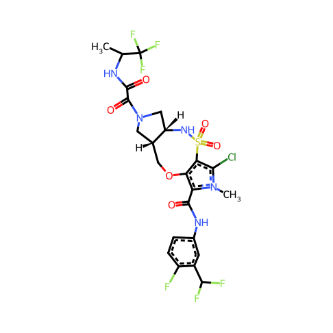 CC(NC(=O)C(=O)N1C[C@H]2COc3c(c(Cl)n(C)c3C(=O)Nc3ccc(F)c(C(F)F)c3)S(=O)(=O)N[C@H]2C1)C(F)(F)F